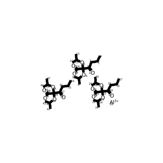 CCCC(=O)C(OC(C)C)(OC(C)C)C(=O)[O-].CCCC(=O)C(OC(C)C)(OC(C)C)C(=O)[O-].CCCC(=O)C(OC(C)C)(OC(C)C)C(=O)[O-].[Al+3]